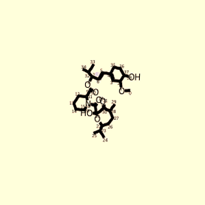 COC1C=C(/C=C/C(OC(=O)C2CCCCN2C(=O)C2(O)OC(C(C)C)CCC(C)C2=O)C(C)C)CCC1O